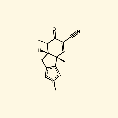 C[C@@H]1C(=O)C(C#N)=C[C@]2(C)c3nn(C)cc3C[C@H]12